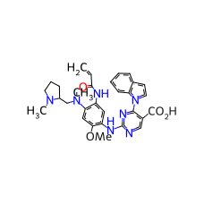 C=CC(=O)Nc1cc(Nc2ncc(C(=O)O)c(-n3ccc4ccccc43)n2)c(OC)cc1N(C)CC1CCCN1C